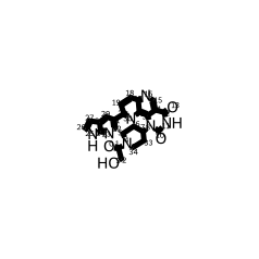 O=C(CO)N1CCC(n2c(=O)[nH]c(=O)c3cnc4ccc(-c5cnc6[nH]ccc6c5)nc4c32)CC1